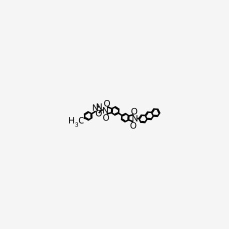 Cc1ccc(-c2nnc(N3C(=O)c4ccc(-c5ccc6c(c5)C(=O)N(c5ccc7cc8ccccc8cc7c5)C6=O)cc4C3=O)o2)cc1